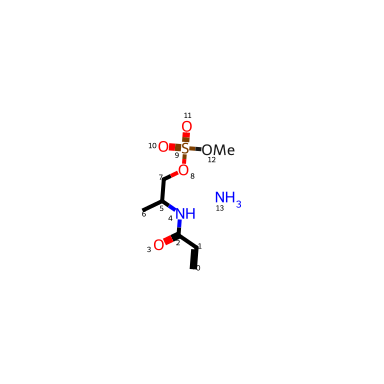 C=CC(=O)NC(C)COS(=O)(=O)OC.N